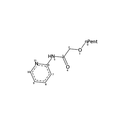 CCCCCOCC(=O)Nc1ccccn1